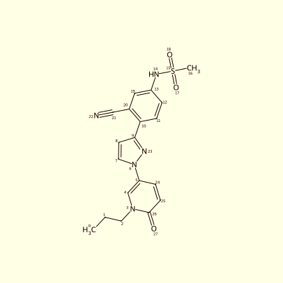 CCCn1cc(-n2ccc(-c3ccc(NS(C)(=O)=O)cc3C#N)n2)ccc1=O